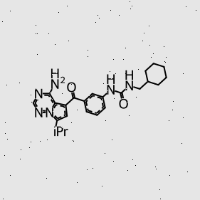 CC(C)c1cc(C(=O)c2cccc(NC(=O)NCC3CCCCC3)c2)c2c(N)ncnn12